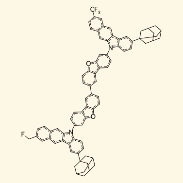 FCc1ccc2cc3c(cc2c1)c1cc(C24CC5CC(CC(C5)C2)C4)ccc1n3-c1ccc2c(c1)oc1ccc(-c3ccc4oc5cc(-n6c7ccc(C89CC%10CC(CC(C%10)C8)C9)cc7c7cc8cc(C(F)(F)F)ccc8cc76)ccc5c4c3)cc12